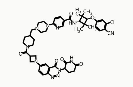 CC1(C)[C@H](NC(=O)c2ccc(N3CCN(CC4CCN(C(=O)C5CN(c6ccc7nnn(C8CCC(=O)NC8=O)c(=O)c7c6)C5)CC4)CC3)nc2)C(C)(C)[C@H]1Oc1ccc(C#N)c(Cl)c1